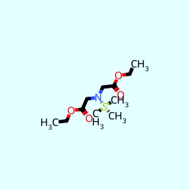 CCOC(=O)CN(CC(=O)OCC)S(C)(C)C